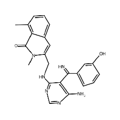 Cc1cccc2cc(CNc3ncnc(N)c3C(=N)c3cccc(O)c3)n(C)c(=O)c12